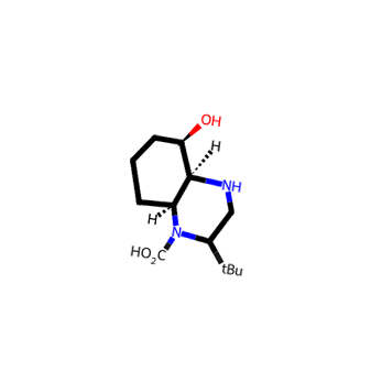 CC(C)(C)C1CN[C@@H]2[C@H](O)CCC[C@@H]2N1C(=O)O